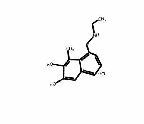 CCNCc1cccc2cc(O)c(O)c(C)c12.Cl